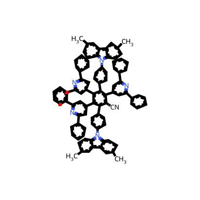 Cc1ccc2c(c1)c1cc(C)ccc1n2-c1ccc(-c2c(C#N)c(-c3cc(-c4ccccc4)nc(-c4ccccc4)c3)c(-c3ccc(-n4c5ccc(C)cc5c5cc(C)ccc54)cc3)c(-c3cc(-c4ccccc4)nc(-c4ccccc4)c3)c2-c2cc(-c3ccccc3)nc(-c3ccccc3)c2)cc1